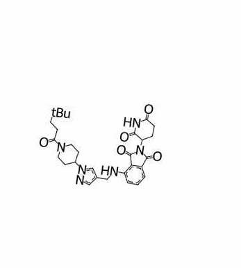 CC(C)(C)CCC(=O)N1CCC(n2cc(CNc3cccc4c3C(=O)N(C3CCC(=O)NC3=O)C4=O)cn2)CC1